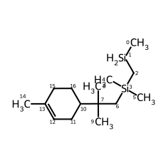 C[SiH2]C[Si](C)(C)CC(C)(C)C1CC=C(C)CC1